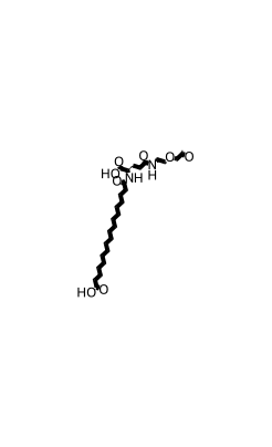 O=[C]COCCNC(=O)CC[C@H](NC(=O)CCCCCCCCCCCCCCCCC(=O)O)C(=O)O